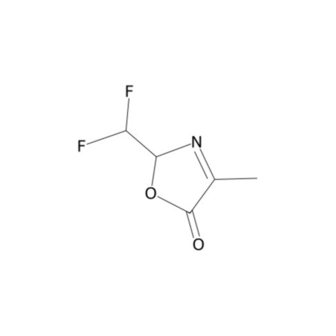 CC1=NC(C(F)F)OC1=O